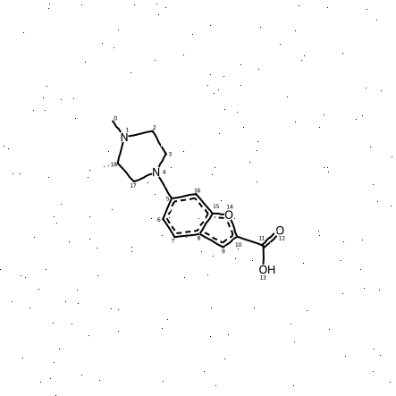 CN1CCN(c2ccc3cc(C(=O)O)oc3c2)CC1